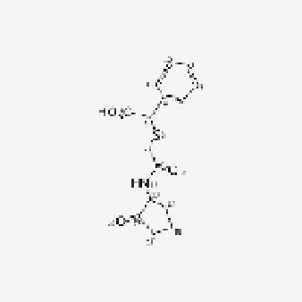 O=C(CSC(C(=O)O)c1ccccc1)NC1CCSC1=O